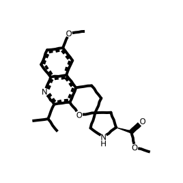 COC(=O)[C@@H]1CC2(CCc3c(c(C(C)C)nc4ccc(OC)cc34)O2)CN1